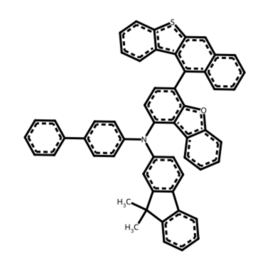 CC1(C)c2ccccc2-c2ccc(N(c3ccc(-c4ccccc4)cc3)c3ccc(-c4c5ccccc5cc5sc6ccccc6c45)c4oc5ccccc5c34)cc21